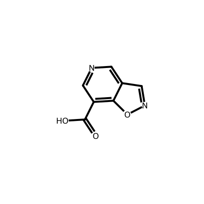 O=C(O)c1cncc2cnoc12